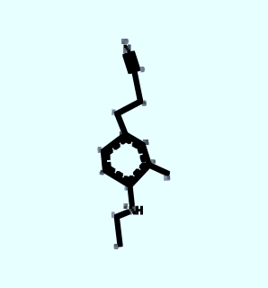 CCNc1ccc(CCC#N)cc1C